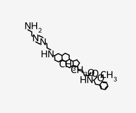 COC(=O)C(Cc1ccccc1)NC(=O)CCCC1CCC2C3CCC4CC(NCCCN5CCN(CCCN)CC5)CCC4(C)C3CCC12C